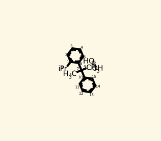 CC(C)c1ccccc1C(C)(C)c1ccccc1.OO